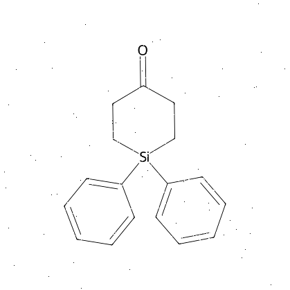 O=C1CC[Si](c2ccccc2)(c2ccccc2)CC1